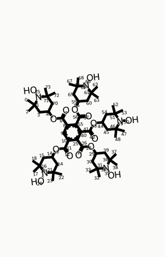 CC1(C)CC(OC(=O)c2cc(C(=O)OC3CC(C)(C)N(O)C(C)(C)C3)c(C(=O)OC3CC(C)(C)N(O)C(C)(C)C3)c(C(=O)OC3CC(C)(C)N(O)C(C)(C)C3)c2C(=O)OC2CC(C)(C)N(O)C(C)(C)C2)CC(C)(C)N1O